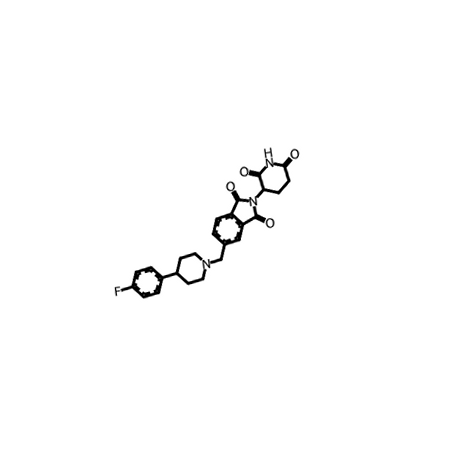 O=C1CCC(N2C(=O)c3ccc(CN4CCC(c5ccc(F)cc5)CC4)cc3C2=O)C(=O)N1